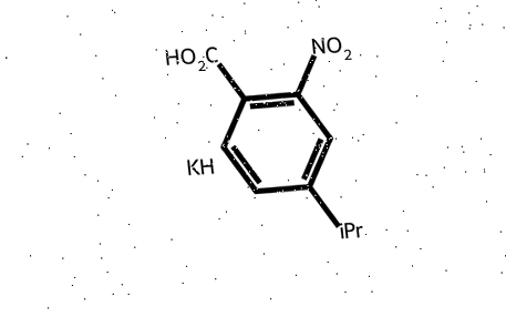 CC(C)c1ccc(C(=O)O)c([N+](=O)[O-])c1.[KH]